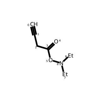 C#CCC(=O)ON(CC)CC